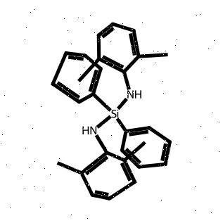 Cc1cccc(C)c1N[Si](Nc1c(C)cccc1C)(c1ccccc1)c1ccccc1